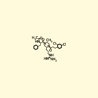 CC(=O)N[C@H](Cc1ccccc1)C(=O)N1C[C@H](CCCNC(=N)N)N(C(=O)CCc2ccc(Cl)cc2Cl)C[C@H]1C